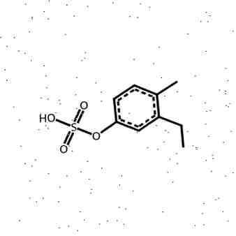 CCc1cc(OS(=O)(=O)O)ccc1C